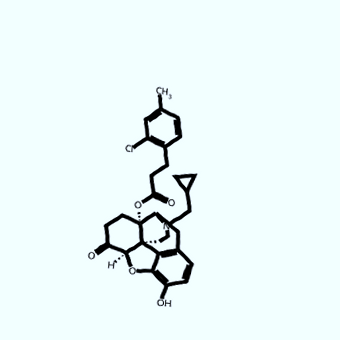 Cc1ccc(CCC(=O)O[C@@]23CCC(=O)[C@@H]4Oc5c(O)ccc6c5[C@@]42CCN(CC2CC2)C3C6)c(Cl)c1